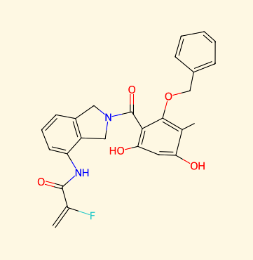 C=C(F)C(=O)Nc1cccc2c1CN(C(=O)c1c(O)cc(O)c(C)c1OCc1ccccc1)C2